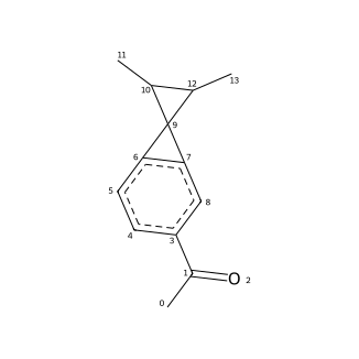 CC(=O)c1ccc2c(c1)C21C(C)C1C